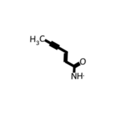 CC#C/C=C/C([NH])=O